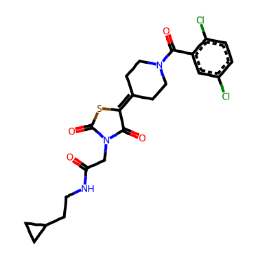 O=C(CN1C(=O)SC(=C2CCN(C(=O)c3cc(Cl)ccc3Cl)CC2)C1=O)NCCC1CC1